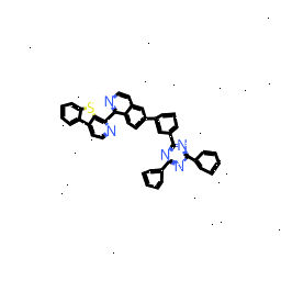 c1ccc(-c2nc(-c3ccccc3)nc(-c3cccc(-c4ccc5c(-c6nccc7c6sc6ccccc67)nccc5c4)c3)n2)cc1